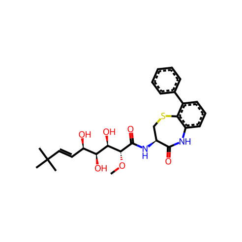 CO[C@@H](C(=O)N[C@H]1CSc2c(cccc2-c2ccccc2)NC1=O)[C@H](O)[C@@H](O)[C@H](O)/C=C/C(C)(C)C